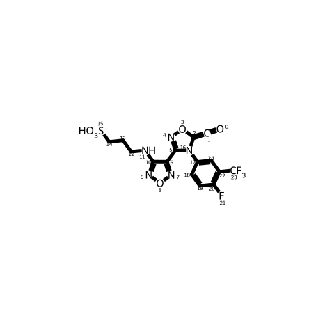 O=C=C1ON=C(c2nonc2NCCCS(=O)(=O)O)N1c1ccc(F)c(C(F)(F)F)c1